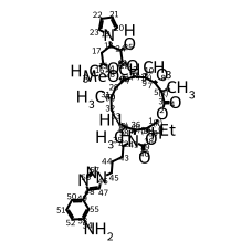 CC[C@H]1OC(=O)[C@H](C)C(=O)[C@H](C)[C@@H](O[C@@H]2OC(C)CC(n3cccc3)C2O)[C@](C)(OC)C[C@@H](C)CN[C@H](C)[C@@H]2[C@@H]1OC(=O)N2CCCCn1cc(-c2cccc(N)c2)nn1